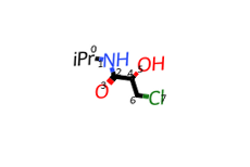 CC(C)NC(=O)C(O)CCl